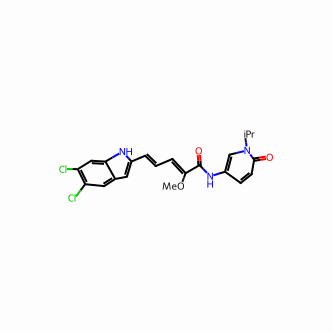 CO/C(=C\C=C\c1cc2cc(Cl)c(Cl)cc2[nH]1)C(=O)Nc1ccc(=O)n(C(C)C)c1